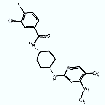 CNc1nc(N[C@H]2CC[C@@H](NC(=O)c3ccc(F)c(Cl)c3)CC2)ncc1C